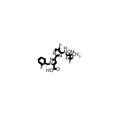 CC(O)(CNc1nc(-c2cc(C(=O)O)n(Cc3ccccc3F)n2)ncc1F)C(F)(F)F